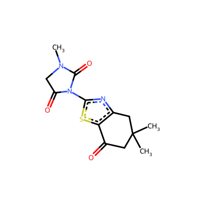 CN1CC(=O)N(c2nc3c(s2)C(=O)CC(C)(C)C3)C1=O